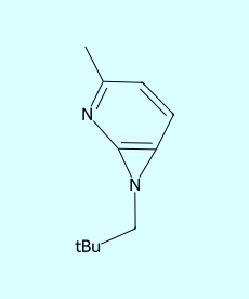 Cc1ccc2c(n1)N2CC(C)(C)C